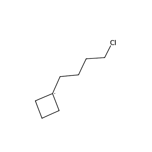 ClCCCC[C]1CCC1